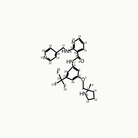 C[C@@]1(COc2cc(NC(=O)c3cccnc3NCc3ccncc3)cc(C(F)(F)F)c2)CCCN1